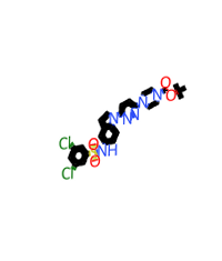 CC(C)(C)OC(=O)N1CCN(c2ccc(-n3ccc4cc(NS(=O)(=O)c5cc(Cl)cc(Cl)c5)ccc43)nn2)CC1